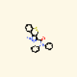 O=C(c1n[nH]c2c1CSc1ccccc1-2)N(c1ccccc1)c1ccccc1